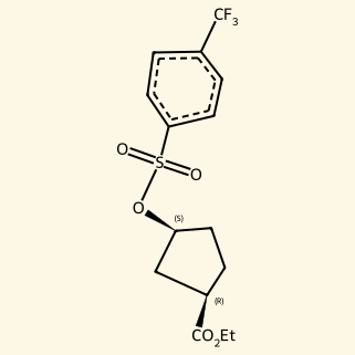 CCOC(=O)[C@@H]1CC[C@H](OS(=O)(=O)c2ccc(C(F)(F)F)cc2)C1